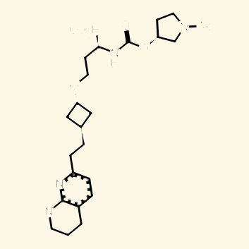 CC(=O)N1CC[C@H](OC(=O)N[C@@H](CCO[C@H]2C[C@H](CCc3ccc4c(n3)NCCC4)C2)C(=O)O)C1